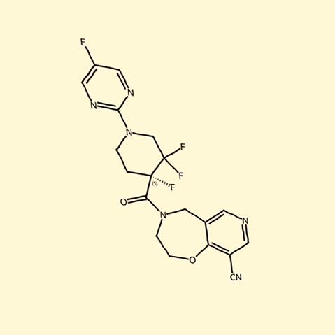 N#Cc1cncc2c1OCCN(C(=O)[C@@]1(F)CCN(c3ncc(F)cn3)CC1(F)F)C2